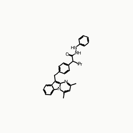 Cc1cc(C)n2c(n1)c(Cc1ccc(C(C(=O)NNc3ccccc3)C(C)C)cc1)c1ccccc12